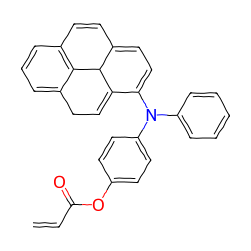 C=CC(=O)Oc1ccc(N(C2=CC=C3C=Cc4cccc5c4C3C2=CC5)c2ccccc2)cc1